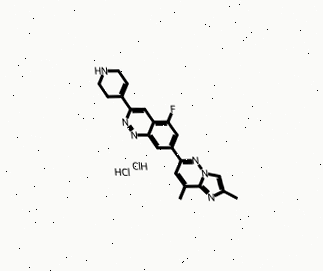 Cc1cn2nc(-c3cc(F)c4cc(C5=CCNCC5)nnc4c3)cc(C)c2n1.Cl.Cl